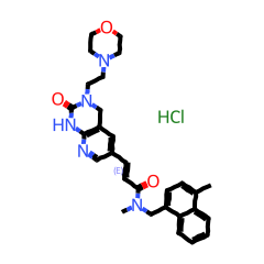 Cc1ccc(CN(C)C(=O)/C=C/c2cnc3c(c2)CN(CCN2CCOCC2)C(=O)N3)c2ccccc12.Cl